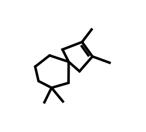 CC1=C(C)CC2(CCCC(C)(C)C2)C1